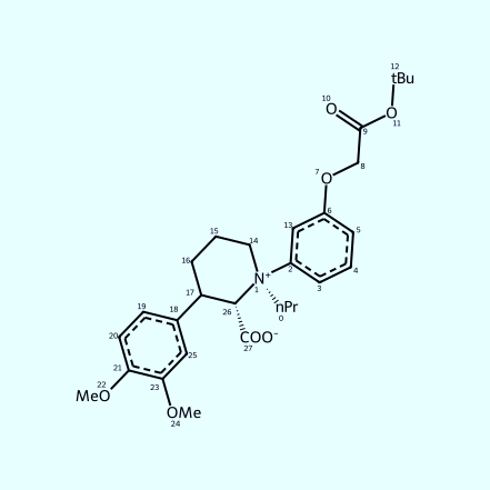 CCC[N@@+]1(c2cccc(OCC(=O)OC(C)(C)C)c2)CCCC(c2ccc(OC)c(OC)c2)[C@H]1C(=O)[O-]